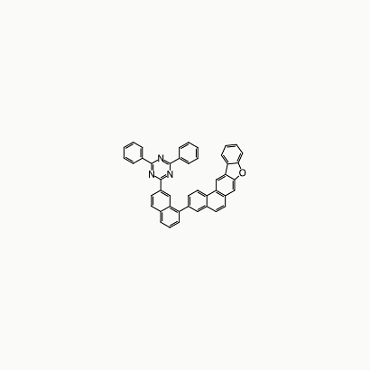 c1ccc(-c2nc(-c3ccccc3)nc(-c3ccc4cccc(-c5ccc6c(ccc7cc8oc9ccccc9c8cc76)c5)c4c3)n2)cc1